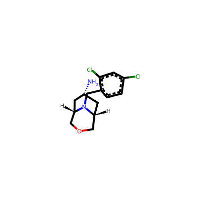 N[C@H]1C[C@H]2COC[C@@H](C1)N2Cc1ccc(Cl)cc1Cl